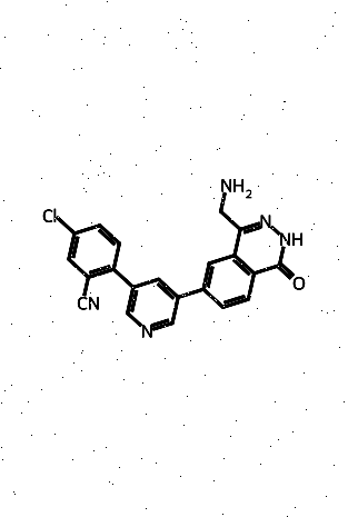 N#Cc1cc(Cl)ccc1-c1cncc(-c2ccc3c(=O)[nH]nc(CN)c3c2)c1